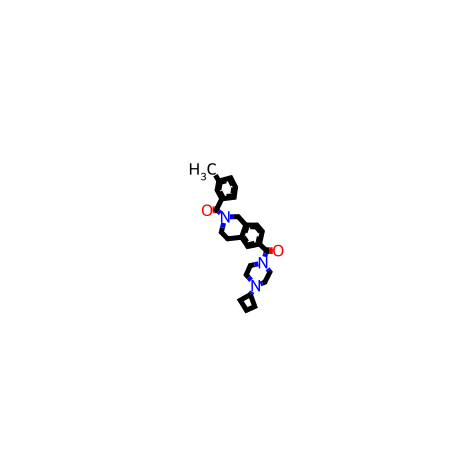 Cc1cccc(C(=O)N2CCc3cc(C(=O)N4CCN(C5CCC5)CC4)ccc3C2)c1